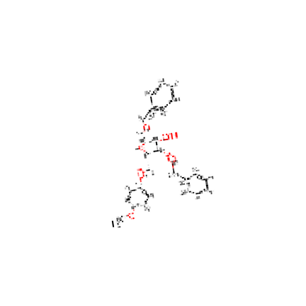 COc1ccc(OC[C@@H]2OC(COCc3ccccc3)C(O)C2OCc2ccccc2)cc1